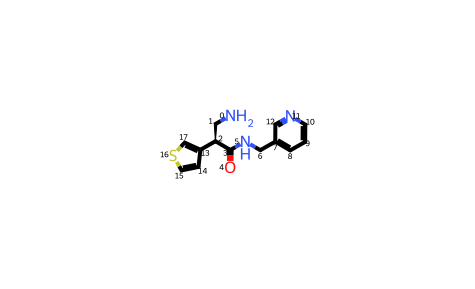 NC[C@@H](C(=O)NCc1cccnc1)c1ccsc1